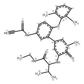 C#CC(=O)Nc1ccc(Oc2c(C)cccc2C)c(-c2cc(NC(C(=O)NCC)C(C)C)c(=O)n(C)c2)c1